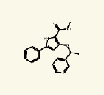 CNC(=O)c1[nH]c(-c2ccccc2)cc1O[C@@H](C)c1ccccc1